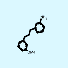 COc1cccc(CCCc2cccc(N)c2)c1